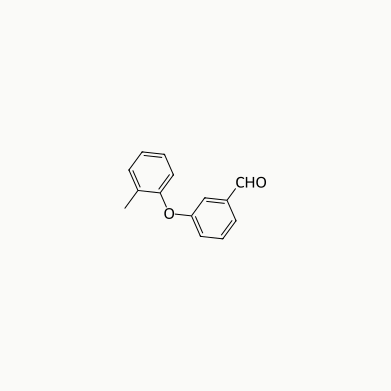 Cc1ccccc1Oc1cccc(C=O)c1